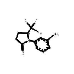 Nc1cccc(N2C(=O)CCC2C(F)(F)F)c1